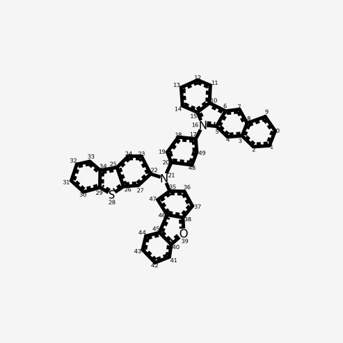 c1ccc2cc3c(cc2c1)c1ccccc1n3-c1ccc(N(c2ccc3c(c2)sc2ccccc23)c2ccc3oc4ccccc4c3c2)cc1